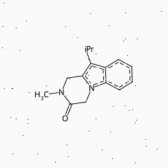 CC(C)c1c2n(c3ccccc13)CC(=O)N(C)C2